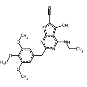 CCNc1nc(Cc2cc(OC)c(OC)c(OC)c2)nc2sc(C#N)c(C)c12